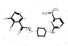 CN(C)c1ccnc(N[C@H]2CC[C@@H](CNC(=O)c3cccc(F)c3F)CC2)n1